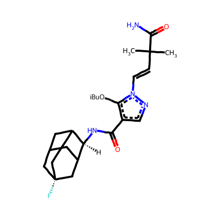 CC(C)COc1c(C(=O)N[C@H]2C3CC4CC2C[C@](F)(C4)C3)cnn1/C=C/C(C)(C)C(N)=O